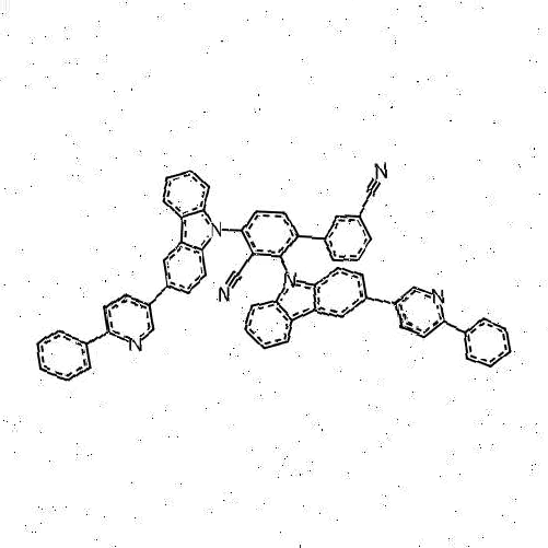 N#Cc1cccc(-c2ccc(-n3c4ccccc4c4cc(-c5ccc(-c6ccccc6)nc5)ccc43)c(C#N)c2-n2c3ccccc3c3cc(-c4ccc(-c5ccccc5)nc4)ccc32)c1